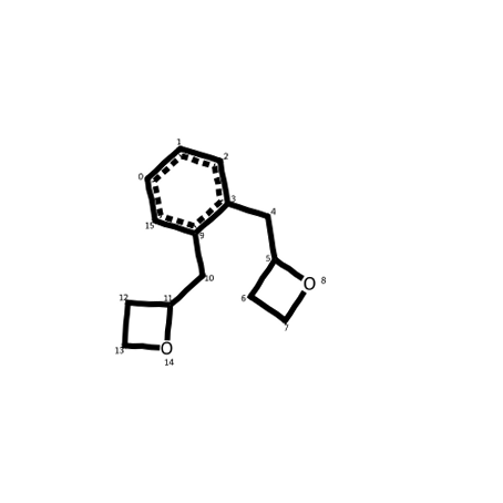 c1ccc(CC2CCO2)c(CC2CCO2)c1